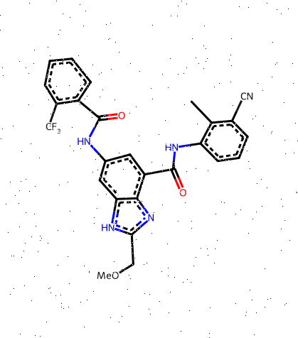 COCc1nc2c(C(=O)Nc3cccc(C#N)c3C)cc(NC(=O)c3ccccc3C(F)(F)F)cc2[nH]1